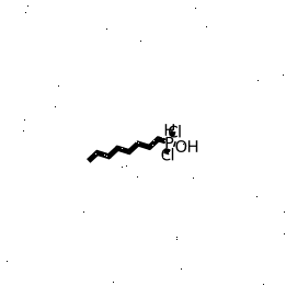 CCCCCCCC[PH](O)(Cl)Cl